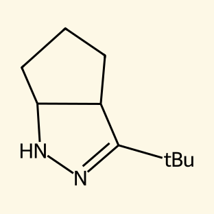 CC(C)(C)C1=NNC2CCCC12